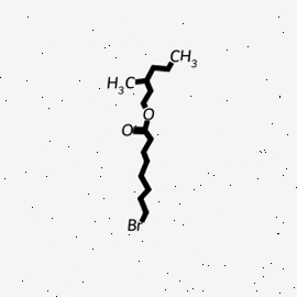 CCCC(C)CCOC(=O)CCCCCCCBr